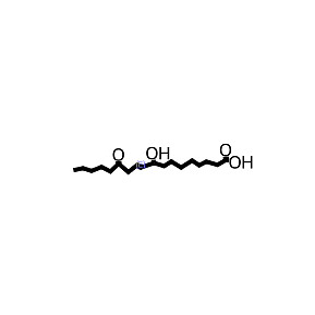 CCCCCC(=O)C/C=C/C(O)CCCCCCCC(=O)O